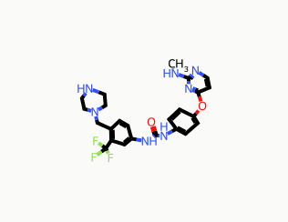 CNc1nccc(Oc2ccc(NC(=O)Nc3ccc(CN4CCNCC4)c(C(F)(F)F)c3)cc2)n1